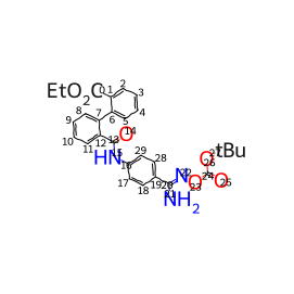 CCOC(=O)c1ccccc1-c1ccccc1C(=O)Nc1ccc(C(N)=NOC(=O)OC(C)(C)C)cc1